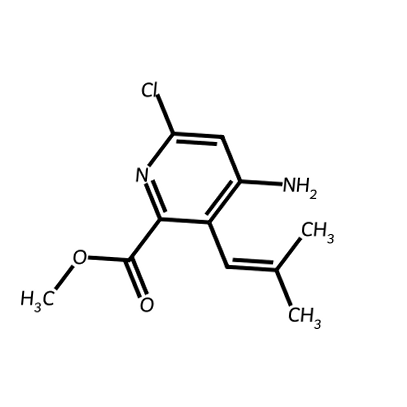 COC(=O)c1nc(Cl)cc(N)c1C=C(C)C